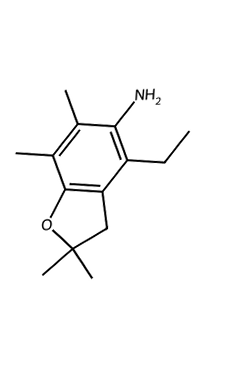 CCc1c(N)c(C)c(C)c2c1CC(C)(C)O2